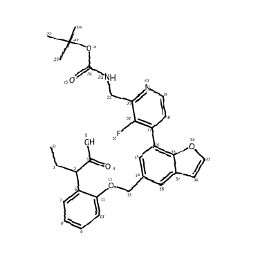 CCC(C(=O)O)c1ccccc1OCc1cc(-c2ccnc(CNC(=O)OC(C)(C)C)c2F)c2occc2c1